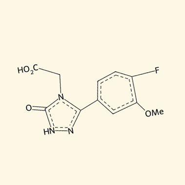 COc1cc(-c2n[nH]c(=O)n2CC(=O)O)ccc1F